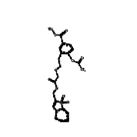 CC(C)(C)OC(=O)c1ccc(OC(=O)C(F)(F)F)c(CCOCC(=O)OCC2=Cc3ccccc3S2(=O)=O)c1